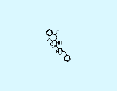 CN1C(=O)C(NC(=O)c2cc(Cc3ccccc3)on2)CC(F)c2ccccc21